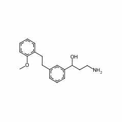 COc1ccccc1CCc1cccc(C(O)CCN)c1